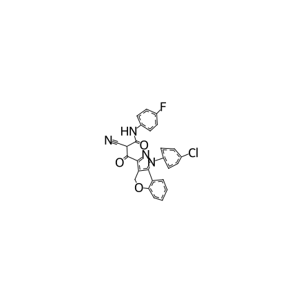 N#CC(C(=O)Nc1ccc(F)cc1)C(=O)c1nn(-c2ccc(Cl)cc2)c2c1COc1ccccc1-2